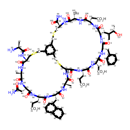 CC(C[C@@H]1NC(=O)[C@H](Cc2ccccc2)NC(=O)[C@H](CC(=O)O)NC(=O)[C@H](CCC(=O)O)NC(=O)[C@H]2CSCc3cc(cc(c3)CSC[C@H](NC(=O)[C@H](C)N)C(=O)N[C@H](C)C(=O)N[C@@H](CC(N)=O)C(=O)N[C@@H](CCC(=O)O)C(=O)N[C@@H](Cc3cccc4ccccc34)C(=O)N[C@H](C)C(=O)N2)CSC[C@@H](C(N)=O)NC(=O)[C@H](C(C)(C)C)NC(=O)[C@H](CC(=O)O)NC1=O)[C@H](C)O